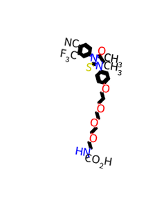 CC1(C)C(=O)N(c2ccc(C#N)c(C(F)(F)F)c2)C(=S)N1c1ccc(OCCCOCCOCCOCCNC(=O)O)cc1